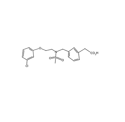 CS(=O)(=O)N(CCOc1cccc(Cl)c1)Cc1cccc(CC(=O)O)c1